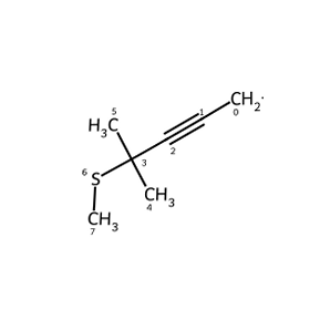 [CH2]C#CC(C)(C)SC